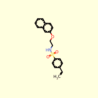 C=Cc1ccc(S(=O)(=O)NCCOc2ccc3ccccc3c2)cc1